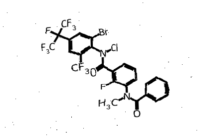 CN(C(=O)c1ccccc1)c1cccc(C(=O)N(Cl)c2c(Br)cc(C(F)(C(F)(F)F)C(F)(F)F)cc2C(F)(F)F)c1F